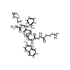 CNCCCC(=O)NCC(=O)N[C@H](Cc1ccc2ccccc2c1)C(=O)N[C@@H](Cc1ccccc1)C(=O)N[C@@H](CCCCN)C(N)=O